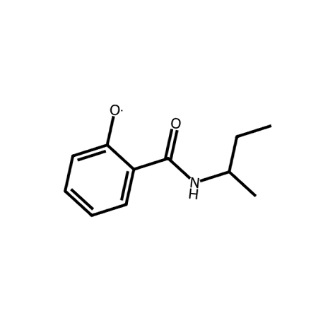 CCC(C)NC(=O)c1ccccc1[O]